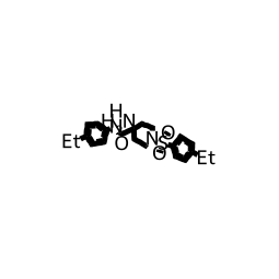 CCc1ccc(NC(=O)C2(N)CCN(S(=O)(=O)c3ccc(CC)cc3)CC2)cc1